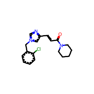 O=C(C=Cc1cn(Cc2ccccc2Cl)cn1)N1CCCCC1